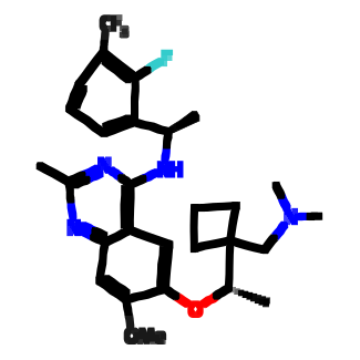 COc1cc2nc(C)nc(N[C@H](C)c3cccc(C(F)(F)F)c3F)c2cc1O[C@@H](C)C1(CN(C)C)CCC1